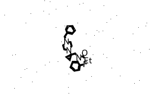 CCC(=O)N(CC1(N2CCN(Cc3ccccc3)CC2)CC1)c1ccccc1F